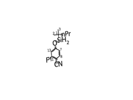 CCCC(C)(C)[SiH2]Oc1ccc(C#N)c(F)c1